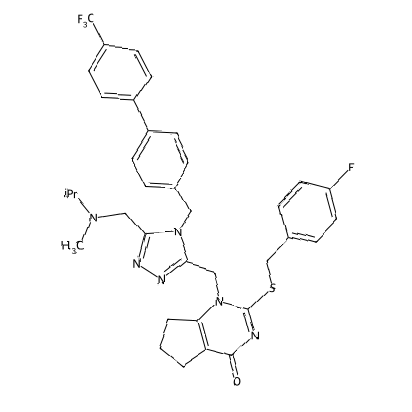 CC(C)N(C)Cc1nnc(Cn2c(SCc3ccc(F)cc3)nc(=O)c3c2CCC3)n1Cc1ccc(-c2ccc(C(F)(F)F)cc2)cc1